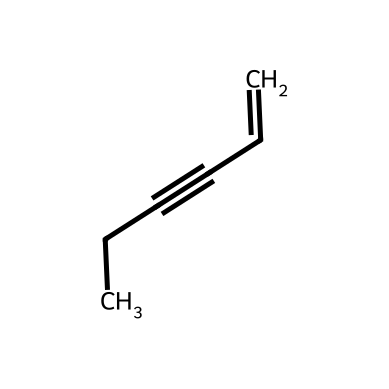 C=CC#CCC